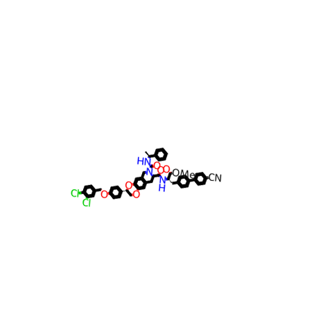 COC(=O)[C@H](Cc1ccc(-c2ccc(C#N)cc2)cc1)NC(=O)C1Cc2cc3c(cc2CN1C(=O)N[C@@H](C)c1ccccc1)O[C@@H](c1ccc(OCc2ccc(Cl)c(Cl)c2)cc1)CO3